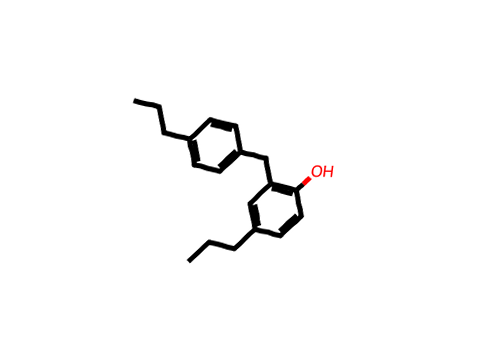 CCCc1ccc(Cc2cc(CCC)ccc2O)cc1